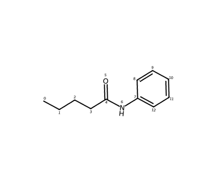 CCCCC(=O)Nc1[c]cccc1